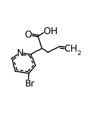 C=CCC(C(=O)O)c1cc(Br)ccn1